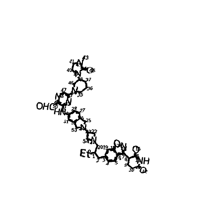 CCC(Cc1ccc2c(C3CCC(=O)NC3=O)noc2c1)CN1CC(N2Cc3ccc(Nc4nc(N5CCCC(N6CCN(C)C6=O)C5)cnc4C=O)cc3C2)C1